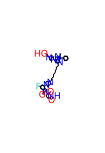 Cc1nn2c(N3CCN(CCO)CC3)cc(CCCCCCCCCN3CCN(c4cc(F)cc5c4CN(C4CCC(=O)NC4=O)C5=O)CC3)nc2c1-c1ccccc1